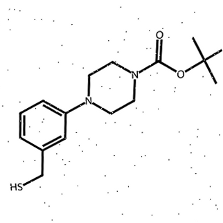 CC(C)(C)OC(=O)N1CCN(c2cccc(CS)c2)CC1